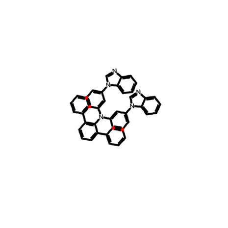 c1ccc(-c2cccc(-c3ccccc3)c2N(c2cccc(-n3cnc4ccccc43)c2)c2cccc(-n3cnc4ccccc43)c2)cc1